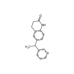 CC(c1cccnc1)c1ccc2c(c1)CCC(=O)N2